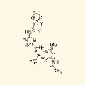 Cc1cc(-c2nnc(N[C@H]3CC=CC4(C3)OCCO4)o2)nc2c(C(C)(C)C)cc(NCC(F)(F)F)cc12